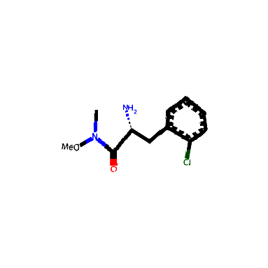 CON(C)C(=O)[C@H](N)Cc1ccccc1Cl